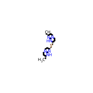 CC[C@H]1CCN2CC[C@H](CSC[C@H]3CCN4CC[C@H](CC)NC4=N3)NC2=N1